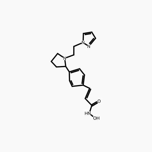 O=C(C=Cc1ccc(C2CCCN2CCn2cccn2)cc1)NO